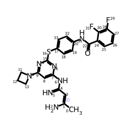 C/C(N)=C/C(=N)Nc1cc(N2CCC2)nc(Sc2ccc(NC(=O)c3cccc(F)c3F)cc2)n1